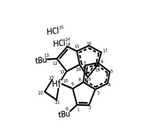 CC(C)(C)C1=Cc2ccccc2[CH]1[Hf]1([CH]2C(C(C)(C)C)=Cc3ccccc32)[CH2]C[CH2]1.Cl.Cl